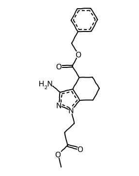 COC(=O)CCn1nc(N)c2c1CCCC2C(=O)OCc1ccccc1